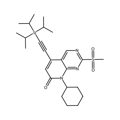 CC(C)[Si](C#Cc1cc(=O)n(C2CCCCC2)c2nc(S(C)(=O)=O)ncc12)(C(C)C)C(C)C